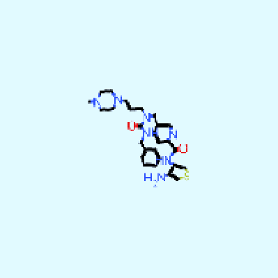 CN1CCN(CCCN(Cc2ccc(C(=O)Nc3cscc3N)nc2)C(=O)NCc2ccccc2)CC1